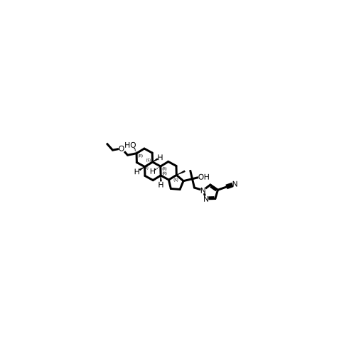 CCOC[C@@]1(O)CC[C@H]2[C@H](CC[C@H]3C4CCC(C(C)(O)Cn5cc(C#N)cn5)[C@@]4(C)CC[C@H]23)C1